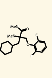 CNC(=O)C(COc1c(F)cccc1F)(CC1CCCCC1)NC